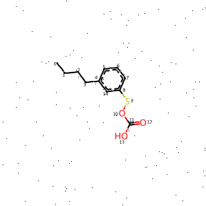 CCCCc1cccc(SOC(=O)O)c1